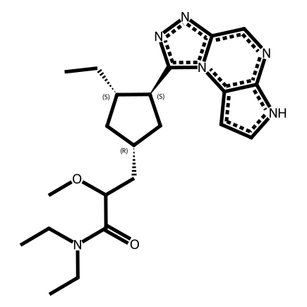 CC[C@H]1C[C@@H](CC(OC)C(=O)N(CC)CC)C[C@@H]1c1nnc2cnc3[nH]ccc3n12